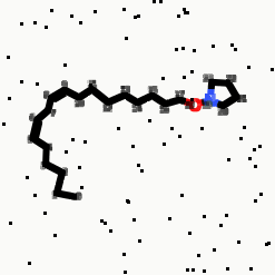 CCCCC/C=C\C/C=C\CCCCCCCCON1CCCC1